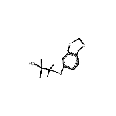 CC(C)(O)C(C)(C)Oc1ccc2c(c1)OCO2